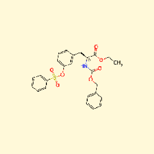 CCOC(=O)[C@H](Cc1cccc(OS(=O)(=O)c2ccccc2)c1)NC(=O)OCc1ccccc1